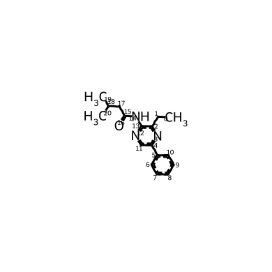 CCc1nc(-c2ccccc2)cnc1NC(=O)CC(C)C